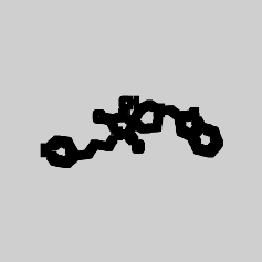 CN1C(=O)N(CCCc2ccncc2)C(=O)C12CCN(Cc1cc3ccccc3s1)CC2